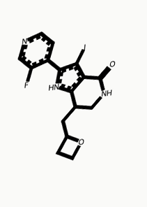 O=C1NCC(CC2CCO2)c2[nH]c(-c3ccncc3F)c(I)c21